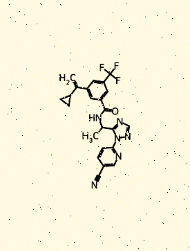 C=C(c1cc(C(=O)NC(C)c2ncnn2-c2ccc(C#N)cn2)cc(C(F)(F)F)c1)C1CC1